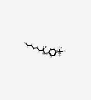 [CH2]CCCCCC(=O)Nc1ccc(C(F)(F)F)cc1